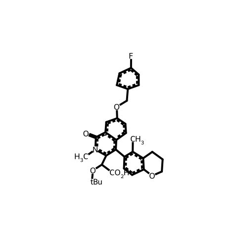 Cc1c(-c2c(C(OC(C)(C)C)C(=O)O)n(C)c(=O)c3cc(OCc4ccc(F)cc4)ccc23)ccc2c1CCCO2